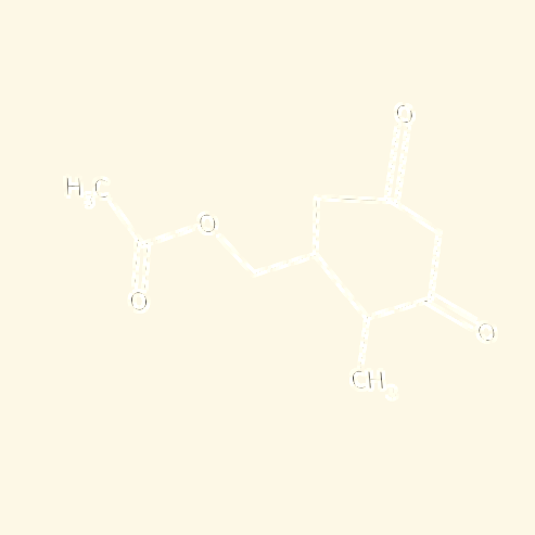 CC(=O)OCC1CC(=O)CC(=O)C1C